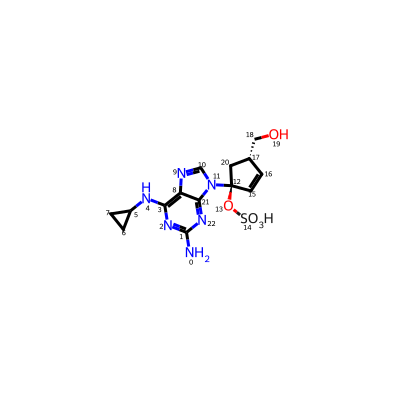 Nc1nc(NC2CC2)c2ncn([C@@]3(OS(=O)(=O)O)C=C[C@@H](CO)C3)c2n1